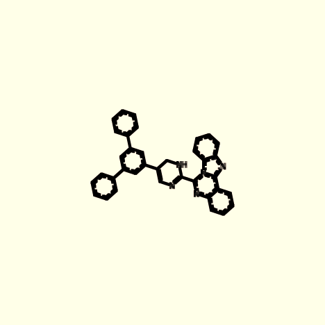 C1=C(c2cc(-c3ccccc3)cc(-c3ccccc3)c2)CNC(c2nc3ccccc3c3nc4ccccc4n23)=N1